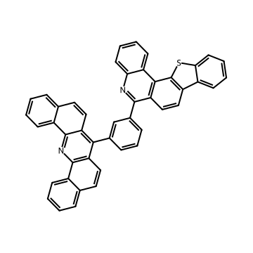 c1cc(-c2c3ccc4ccccc4c3nc3c2ccc2ccccc23)cc(-c2nc3ccccc3c3c2ccc2c4ccccc4sc23)c1